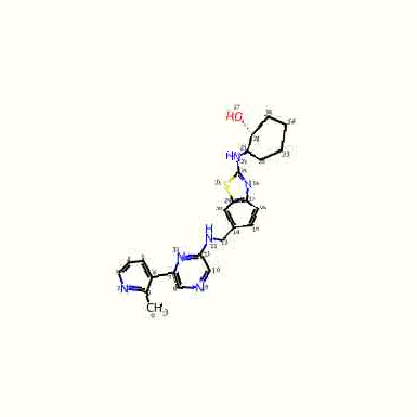 Cc1ncccc1-c1cncc(NCc2ccc3nc(NC4CCCC[C@H]4O)sc3c2)n1